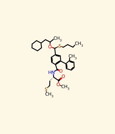 CCCCSC(OC(C)CC1CCCCC1)c1ccc(C(=O)N[C@@H](CCSC)C(=O)OC)c(-c2ccccc2C)c1